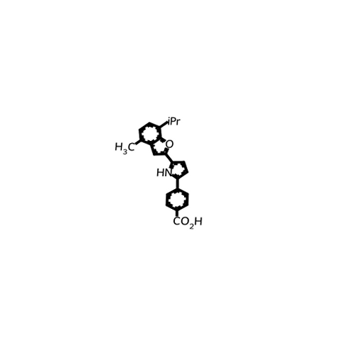 Cc1ccc(C(C)C)c2oc(-c3ccc(-c4ccc(C(=O)O)cc4)[nH]3)cc12